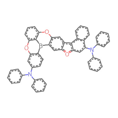 c1ccc(N(c2ccccc2)c2ccc3c(c2)Oc2cccc4c2B3c2cc3oc5cc(N(c6ccccc6)c6ccccc6)c6ccccc6c5c3cc2O4)cc1